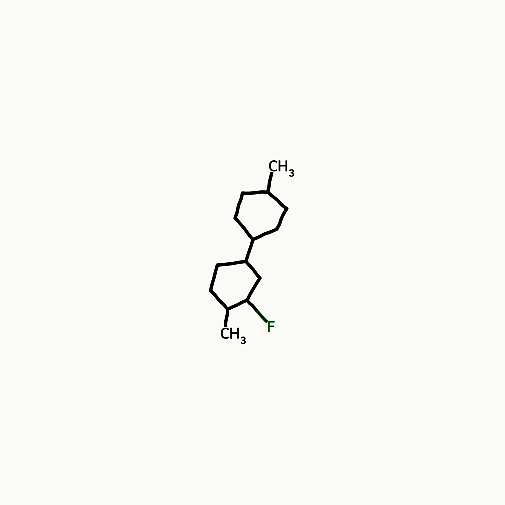 CC1CCC(C2CCC(C)C(F)C2)CC1